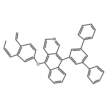 C=Cc1ccc(Oc2c3ccccc3c(-c3cc(-c4ccccc4)cc(-c4ccccc4)c3)c3cnccc23)cc1/C=C\C